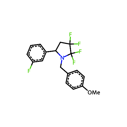 COc1ccc(CN2C(c3cccc(F)c3)CC(F)(F)C2(F)F)cc1